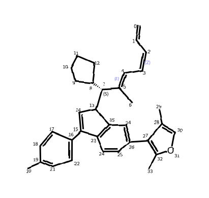 C=C/C=C\C=C(/C)[C@@H](C1CCCC1)C1C=C(c2ccc(C)cc2)c2ccc(-c3c(C)coc3C)cc21